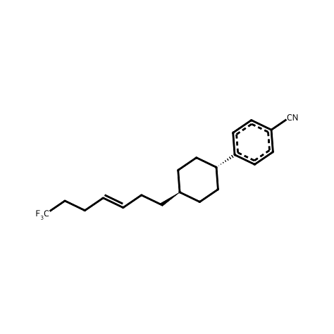 N#Cc1ccc([C@H]2CC[C@H](CCC=CCCC(F)(F)F)CC2)cc1